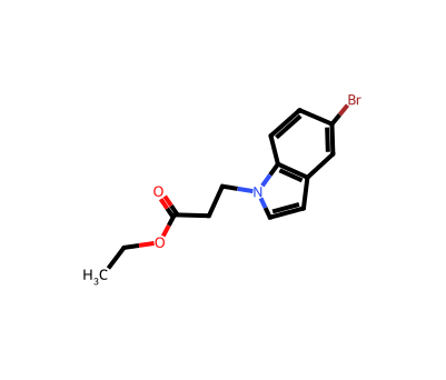 CCOC(=O)CCn1ccc2cc(Br)ccc21